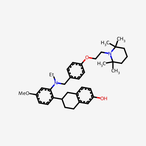 CCN(Cc1ccc(OCCN2C(C)(C)CCCC2(C)C)cc1)c1cc(OC)ccc1C1CCc2cc(O)ccc2C1